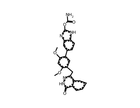 COc1cc(OC)c(-c2ccc3[nH]c(OC(N)=O)nc3c2)cc1Cc1n[nH]c(=O)c2ccccc12